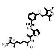 Cc1nn(C)c(I)c1CNc1cccc(S(=O)(=O)Nc2ccsc2C(=O)N[C@@H](CCCNC(N)N)C(=O)O)c1